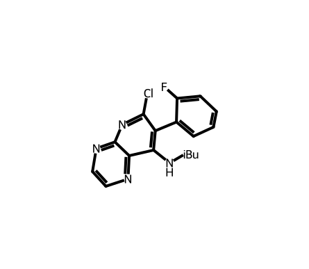 CCC(C)Nc1c(-c2ccccc2F)c(Cl)nc2nccnc12